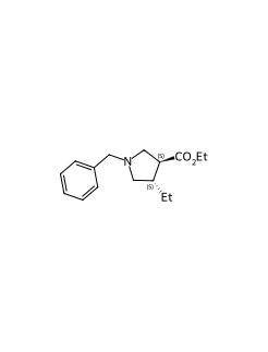 CCOC(=O)[C@@H]1CN(Cc2ccccc2)C[C@H]1CC